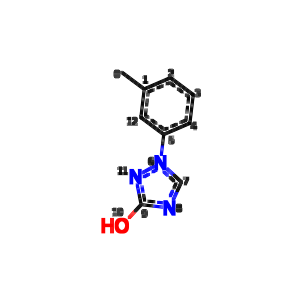 Cc1cccc(-n2cnc(O)n2)c1